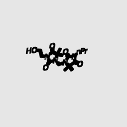 CCCN1C(=O)N(CN2C(=O)N(CCO)C(=O)C2(C)C)C(C)(C)C1=O